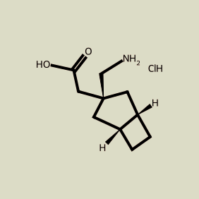 Cl.NC[C@]1(CC(=O)O)C[C@H]2CC[C@H]2C1